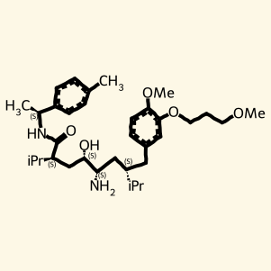 COCCCOc1cc(C[C@@H](C[C@H](N)[C@@H](O)C[C@H](C(=O)N[C@@H](C)c2ccc(C)cc2)C(C)C)C(C)C)ccc1OC